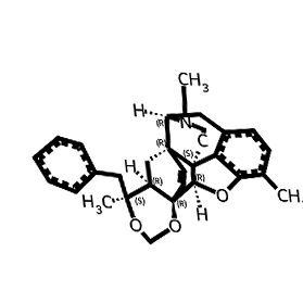 Cc1ccc2c3c1O[C@H]1[C@@]45C=C[C@@]6(C[C@@H]4[C@](C)(Cc4ccccc4)OCO5)[C@@H](C2)N(C)CC[C@]316